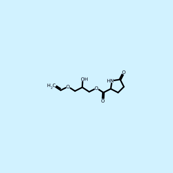 C=COCC(O)COC(=O)C1CCC(=O)N1